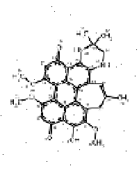 COc1c(O)c2c(=O)cc(OC)c3c4c(OC)cc(=O)c5c6c(c7c(c(c1CC(C)=C7)c23)c54)NCC(C)(C)N6